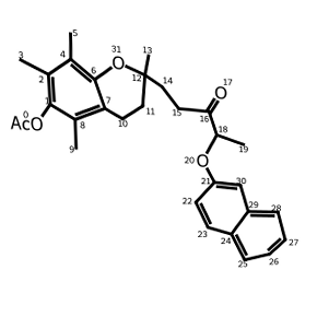 CC(=O)Oc1c(C)c(C)c2c(c1C)CCC(C)(CCC(=O)C(C)Oc1ccc3ccccc3c1)O2